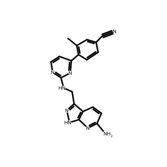 Cc1cc(C#N)ccc1-c1ccnc(NCc2n[nH]c3nc(N)ccc23)n1